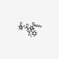 CNC(=O)c1cc(C(=O)NCCc2ncc[nH]2)n([C@@H](C)c2ccccc2)n1